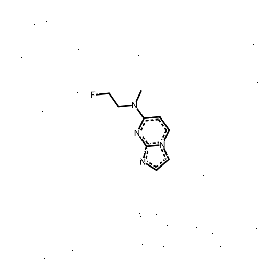 CN(CCF)c1ccn2ccnc2n1